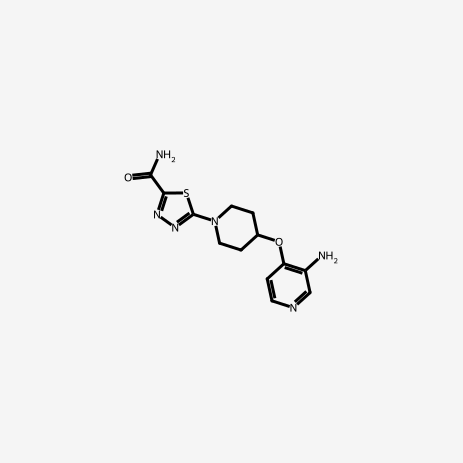 NC(=O)c1nnc(N2CCC(Oc3ccncc3N)CC2)s1